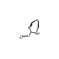 [O]OC1N=CCCN1